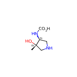 C[C@]1(O)CNC[C@@H]1NC(=O)O